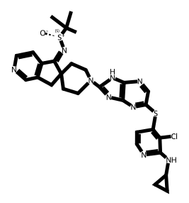 CC(C)(C)[S@@+]([O-])N=C1c2ccncc2CC12CCN(c1nc3nc(Sc4ccnc(NC5CC5)c4Cl)cnc3[nH]1)CC2